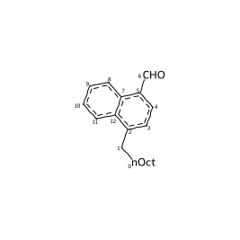 CCCCCCCCCc1ccc(C=O)c2ccccc12